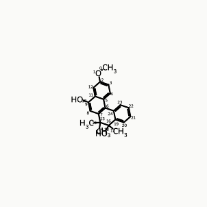 COc1ccc2c3c(cc(O)c2c1)C(C)(C)C(C)(O)c1ccccc1-3